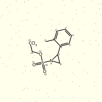 Cc1ccccc1C1CN1S(=O)(=O)OCC(Cl)(Cl)Cl